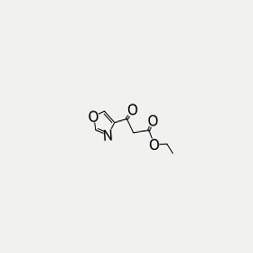 CCOC(=O)CC(=O)c1cocn1